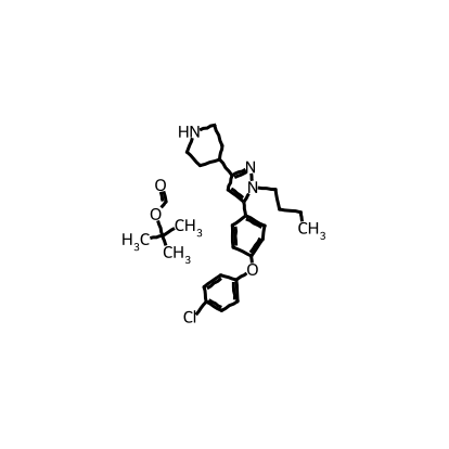 CC(C)(C)OC=O.CCCCn1nc(C2CCNCC2)cc1-c1ccc(Oc2ccc(Cl)cc2)cc1